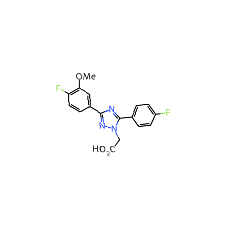 COc1cc(-c2nc(-c3ccc(F)cc3)n(CC(=O)O)n2)ccc1F